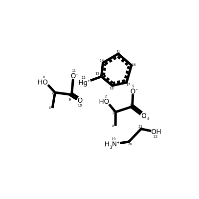 CC(O)C(=O)[O-].CC(O)C(=O)[O-].[Hg+][c]1ccccc1.[NH3+]CCO